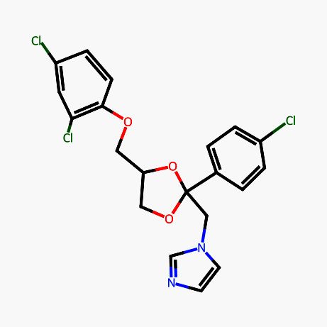 Clc1ccc(C2(Cn3ccnc3)OCC(COc3ccc(Cl)cc3Cl)O2)cc1